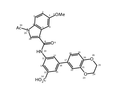 COc1ccc2c(c1)c(C(=O)Nc1cc(C(=O)O)cc(-c3ccc4c(c3)OCCO4)c1)cn2C(C)=O